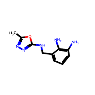 Cc1nnc(NCc2cccc(N)c2N)o1